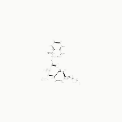 CC[C@H](NC(=O)Cn1nnc2ccccc2c1=O)c1ccc(OC(F)(F)F)cc1